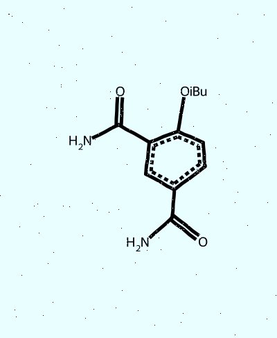 CC(C)COc1ccc(C(N)=O)cc1C(N)=O